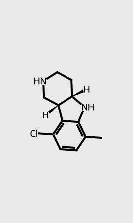 Cc1ccc(Cl)c2c1N[C@H]1CCNC[C@@H]21